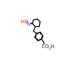 O=C(O)Cc1ccc(CC2CCCCC2=NO)cc1